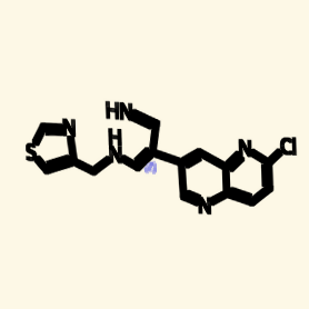 N=C/C(=C\NCc1cscn1)c1cnc2ccc(Cl)nc2c1